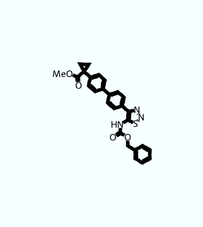 COC(=O)C1(c2ccc(-c3ccc(-c4nnsc4NC(=O)OCc4ccccc4)cc3)cc2)CC1